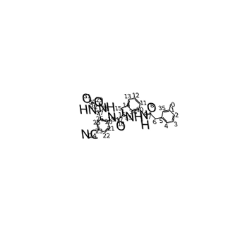 Cc1cccc(CC(=O)Nc2cccc3cc(C(=O)Nc4ccc(C#N)cc4-c4noc(=O)[nH]4)[nH]c23)c1